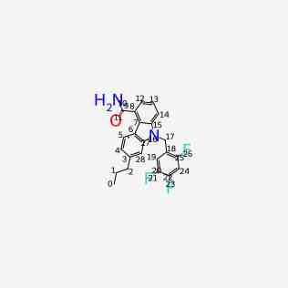 CCCc1c[c]c2c3c(C(N)=O)cccc3n(Cc3cc(F)c(F)cc3F)c2c1